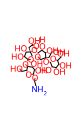 NCCO[C@@H]1OC(CO)[C@@H](O[C@@H]2OC[C@@](CC(=O)O)(O[C@H]3OC[C@@](CCO)(O[C@H]4OC(CO)[C@@H](O)C(O)C4O)C(O)C3O)C(O)C2O)C(O)C1O